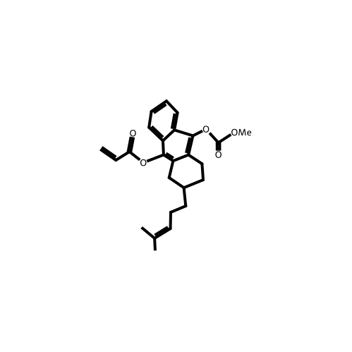 C=CC(=O)Oc1c2c(c(OC(=O)OC)c3ccccc13)CCC(CCC=C(C)C)C2